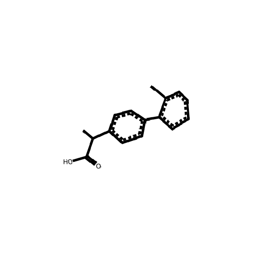 Cc1ccccc1-c1ccc(C(C)C(=O)O)cc1